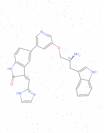 N[C@H](COc1cncc(-c2ccc3c(c2)/C(=C/c2ncc[nH]2)C(=O)N3)c1)Cc1c[nH]c2ccccc12